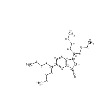 CCCCN(CCCC)c1ccc2c(c1)C(=O)OC2N(CCCC)CCCC